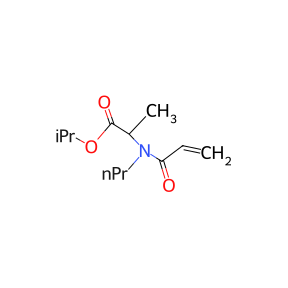 C=CC(=O)N(CCC)C(C)C(=O)OC(C)C